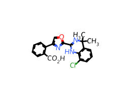 CC1(C)N=C(c2nc(-c3ccccc3C(=O)O)co2)Nc2c(Cl)cccc21